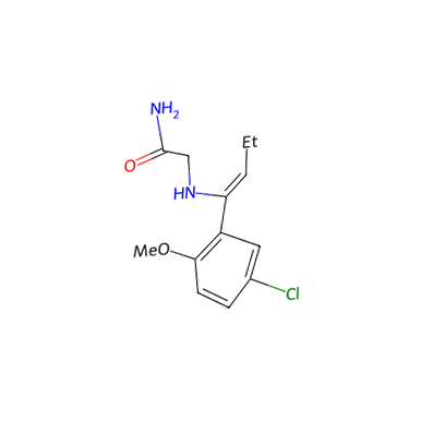 CC/C=C(\NCC(N)=O)c1cc(Cl)ccc1OC